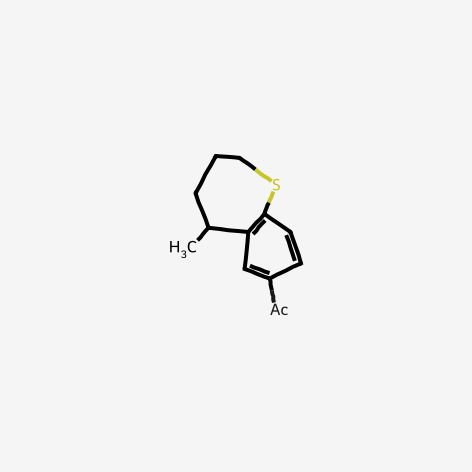 CC(=O)c1ccc2c(c1)C(C)CCCS2